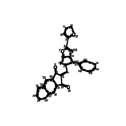 O=C1C(=Cc2nc3oc(-c4ccco4)nc3n2-c2ccccc2)C(=O)c2cc3ccccc3cc21